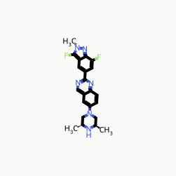 C[C@@H]1CN(c2ccc3nc(-c4cc(F)c5nn(C)c(F)c5c4)ncc3c2)C[C@@H](C)N1